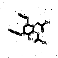 CC(=O)O[C@@H]1[C@H](O)[C@@H](N=[N+]=[N-])C[C@@H](N=[N+]=[N-])[C@@H]1CC(=O)O